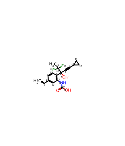 C=Cc1ccc(C(O)(C#CC2CC2)C(C)(F)F)c(NC(=O)O)c1